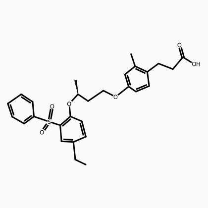 CCc1ccc(O[C@@H](C)CCOc2ccc(CCC(=O)O)c(C)c2)c(S(=O)(=O)c2ccccc2)c1